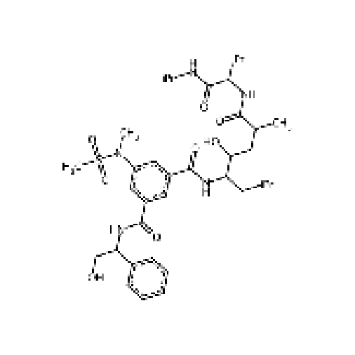 CC(C)CC(NC(=O)c1cc(C(=O)NC(CO)c2ccccc2)cc(N(C)S(C)(=O)=O)c1)C(O)CC(C)C(=O)NC(C(=O)NC(C)C)C(C)C